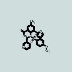 COc1ccc(S(=O)(=O)N(Cc2cccnc2)c2c(C(=O)O)cc(C)cc2-c2ccco2)cc1